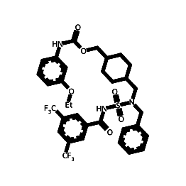 CCOc1cccc(NC(=O)OCC2CCC(CN(Cc3ccccc3)S(=O)(=O)NC(=O)c3cc(C(F)(F)F)cc(C(F)(F)F)c3)CC2)c1